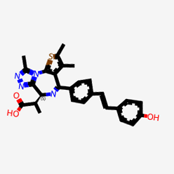 Cc1sc2c(c1C)C(c1ccc(C=Cc3ccc(O)cc3)cc1)=N[C@@H](C(C)C(=O)O)c1nnc(C)n1-2